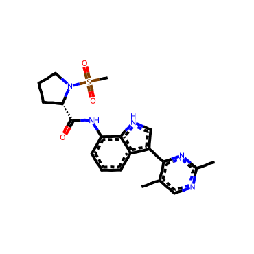 Cc1ncc(C)c(-c2c[nH]c3c(NC(=O)[C@@H]4CCCN4S(C)(=O)=O)cccc23)n1